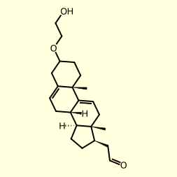 C[C@]12CCC(OCCO)CC1=CC[C@@H]1C2=CC[C@]2(C)[C@@H](CC=O)CC[C@@H]12